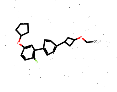 O=C(O)COC1CC(c2ccc(-c3cc(OC4CCCC4)ccc3F)cc2)C1